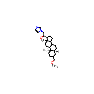 COCC1CCC2(C)C3CCC4(C)C(CC[C@@H]4C(=O)Cn4ccnc4)C3CC[C@H]2C1